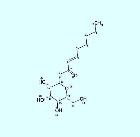 CCCCC/C=C/C(=O)C[C@@H]1O[C@H](CO)[C@@H](O)[C@H](O)[C@@H]1O